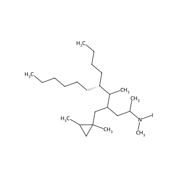 CCCCCC[C@H](CCCC)C(C)C(CC(C)N(C)I)CC1(C)CC1C